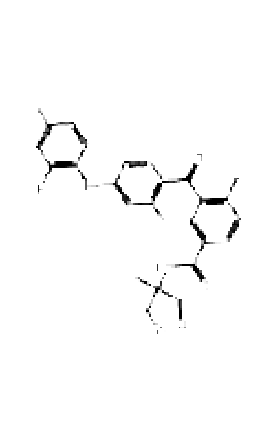 Cc1ccc(C(=O)NC(C)(CO)CO)cc1C(=O)c1ccc(Nc2ccc(F)cc2F)cc1Cl